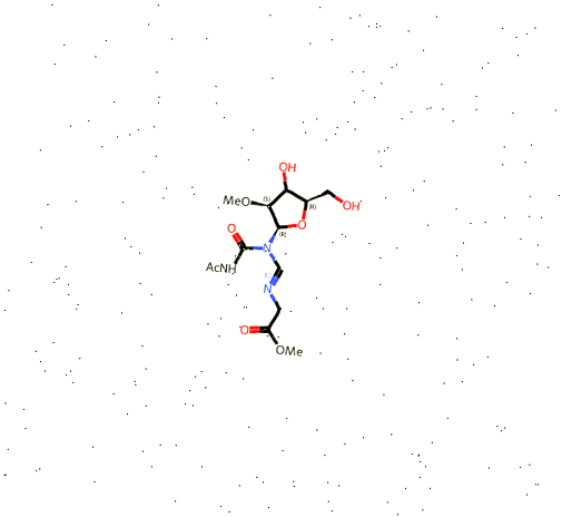 COC(=O)C/N=C/N(C(=O)NC(C)=O)[C@@H]1O[C@H](CO)C(O)[C@@H]1OC